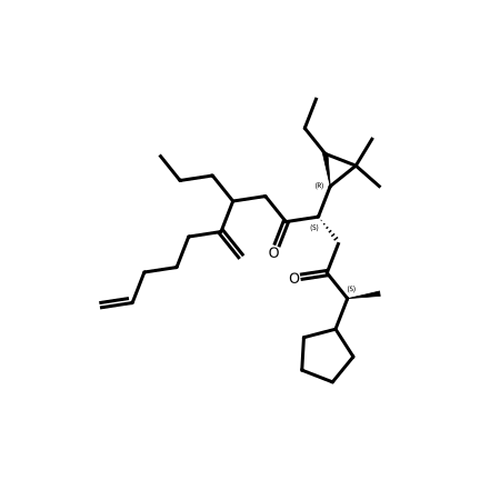 C=CCCCC(=C)C(CCC)CC(=O)[C@@H](CC(=O)[C@@H](C)C1CCCC1)[C@H]1C(CC)C1(C)C